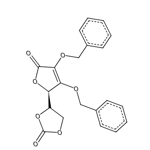 O=C1OCC([C@H]2OC(=O)C(OCc3ccccc3)=C2OCc2ccccc2)O1